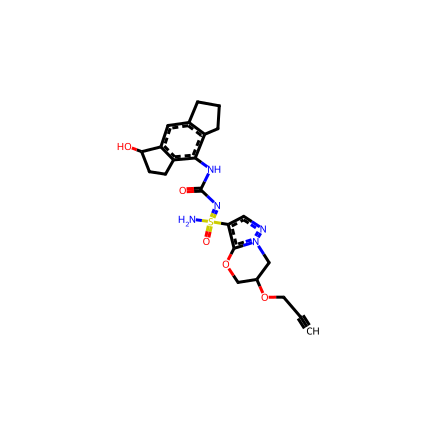 C#CCOC1COc2c(S(N)(=O)=NC(=O)Nc3c4c(cc5c3CCC5O)CCC4)cnn2C1